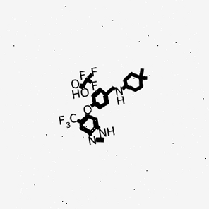 CC1(C)CCC(NCc2ccc(Oc3cc4[nH]cnc4cc3C(F)(F)F)cc2)CC1.O=C(O)C(F)(F)F